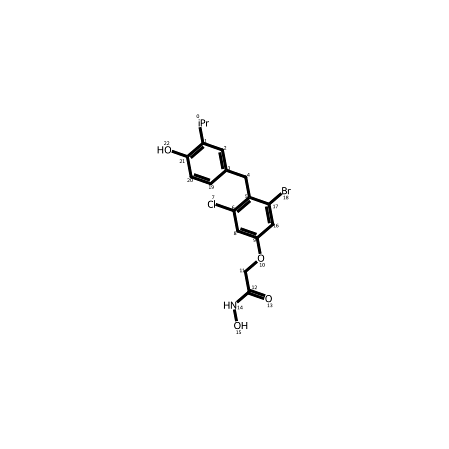 CC(C)c1cc(Cc2c(Cl)cc(OCC(=O)NO)cc2Br)ccc1O